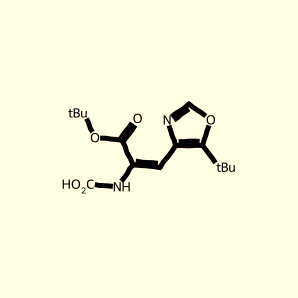 CC(C)(C)OC(=O)/C(=C\c1ncoc1C(C)(C)C)NC(=O)O